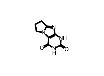 O=c1[nH]c(=O)c2c(nc3n2CCC3)[nH]1